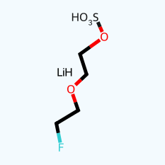 O=S(=O)(O)OCCOCCF.[LiH]